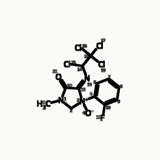 CN1C[N+]([O-])(c2ccccc2F)C(=NC(Cl)C(Cl)(Cl)Cl)C1=O